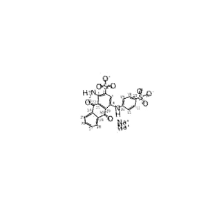 Nc1c(S(=O)(=O)[O-])cc(Nc2ccc(S(=O)(=O)[O-])cc2)c2c1C(=O)c1ccccc1C2=O.[Na+].[Na+]